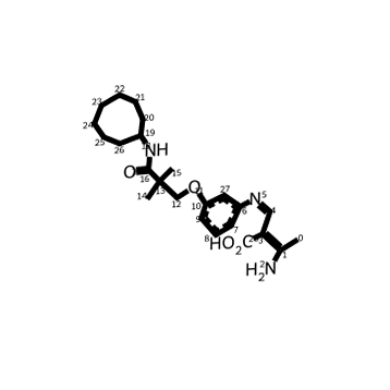 C/C(N)=C(\C=N/c1cccc(OCC(C)(C)C(=O)NC2CCCCCCC2)c1)C(=O)O